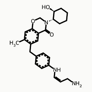 Cc1cc2c(cc1Cc1ccc(N/C=C\CN)cc1)C(=O)N([C@H]1CCCC[C@@H]1O)CO2